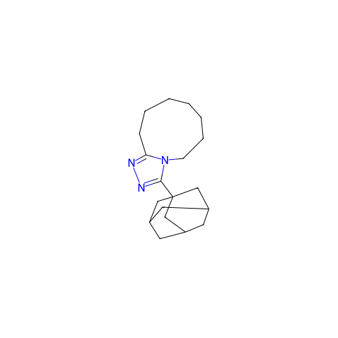 C1CCCc2nnc(C34CC5CC(CC(C5)C3)C4)n2CCC1